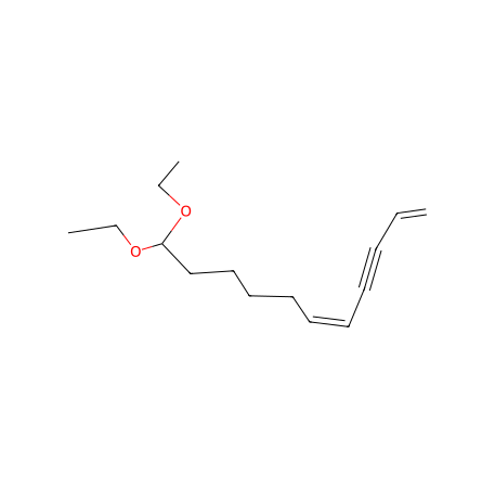 C=CC#C/C=C\CCCCC(OCC)OCC